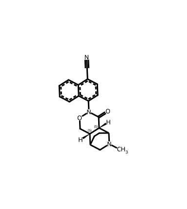 CN1CC2CCC1[C@H]1C(=O)N(c3ccc(C#N)c4ccccc34)OC[C@@H]21